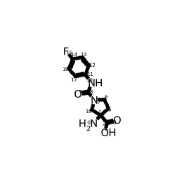 NC1(C(=O)O)CCN(C(=O)Nc2ccc(F)cc2)C1